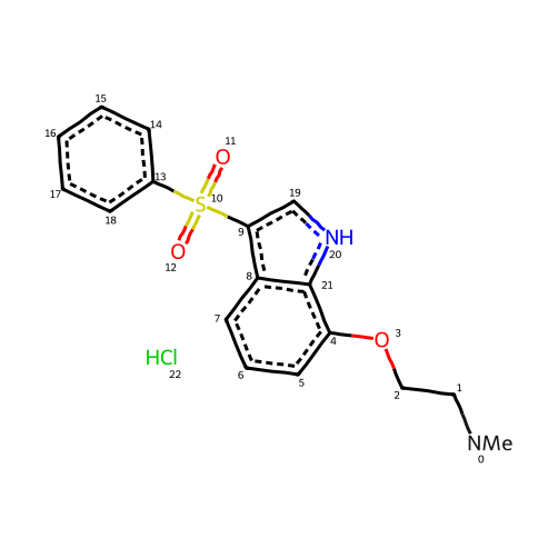 CNCCOc1cccc2c(S(=O)(=O)c3ccccc3)c[nH]c12.Cl